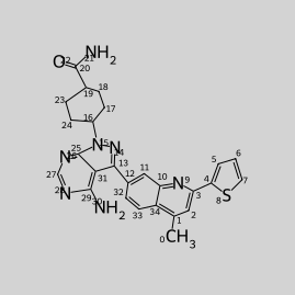 Cc1cc(-c2cccs2)nc2cc(-c3nn(C4CCC(C(N)=O)CC4)c4ncnc(N)c34)ccc12